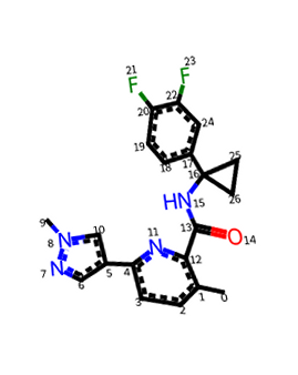 Cc1ccc(-c2cnn(C)c2)nc1C(=O)NC1(c2ccc(F)c(F)c2)CC1